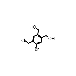 OCc1cc(Br)c(CCl)cc1CO